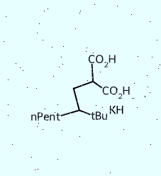 CCCCCC(CC(C(=O)O)C(=O)O)C(C)(C)C.[KH]